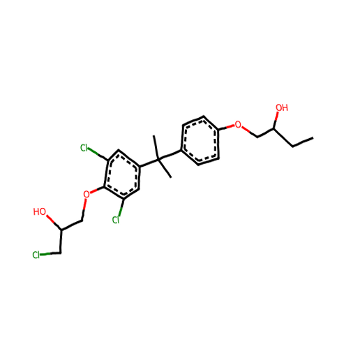 CCC(O)COc1ccc(C(C)(C)c2cc(Cl)c(OCC(O)CCl)c(Cl)c2)cc1